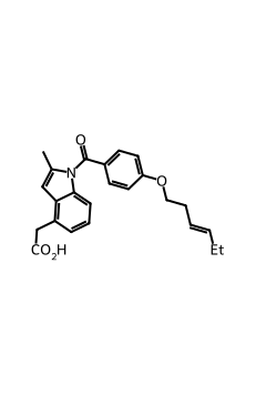 CC/C=C/CCOc1ccc(C(=O)n2c(C)cc3c(CC(=O)O)cccc32)cc1